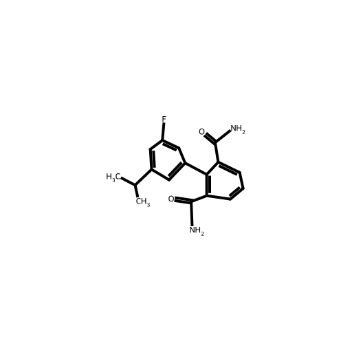 CC(C)c1cc(F)cc(-c2c(C(N)=O)cccc2C(N)=O)c1